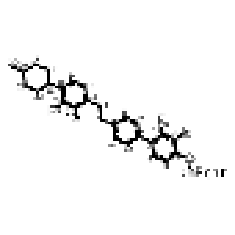 CCCCCOc1ccc(-c2ccc(CCc3ccc(C4CCC(C)CC4)c(F)c3F)cc2)c(F)c1F